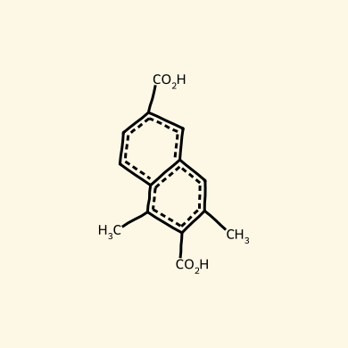 Cc1cc2cc(C(=O)O)ccc2c(C)c1C(=O)O